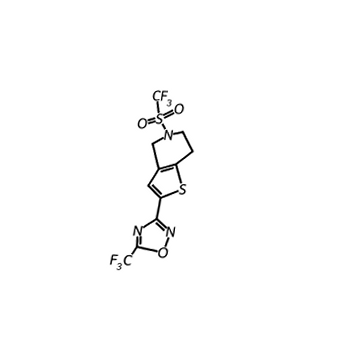 O=S(=O)(N1CCc2sc(-c3noc(C(F)(F)F)n3)cc2C1)C(F)(F)F